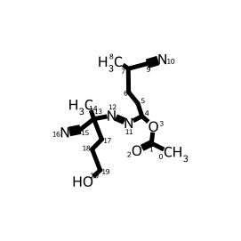 CC(=O)OC(CCC(C)C#N)N=NC(C)(C#N)CCCO